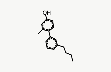 CCCCc1cccc(-c2ccc(O)cc2C)c1